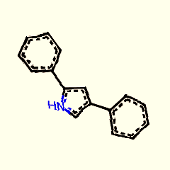 c1ccc(-c2c[nH]c(-c3ccccc3)c2)cc1